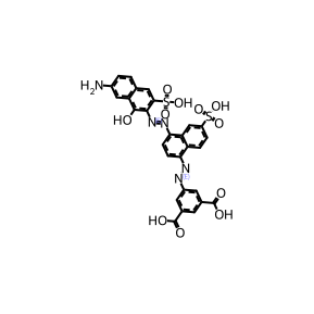 Nc1ccc2cc(S(=O)(=O)O)c(/N=N/c3ccc(/N=N/c4cc(C(=O)O)cc(C(=O)O)c4)c4ccc(S(=O)(=O)O)cc34)c(O)c2c1